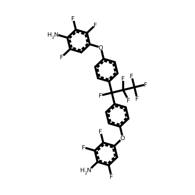 Nc1c(F)cc(Oc2ccc(C(F)(c3ccc(Oc4cc(F)c(N)c(F)c4F)cc3)C(F)(F)C(F)(F)F)cc2)c(F)c1F